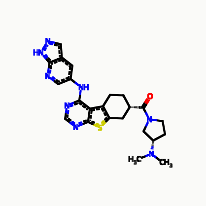 CN(C)[C@H]1CCN(C(=O)[C@H]2CCc3c(sc4ncnc(Nc5cnc6[nH]ncc6c5)c34)C2)C1